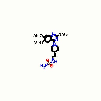 CNc1nc(N2CCC(CCNS(N)(=O)=O)CC2)c2cc(OC)c(OC)cc2n1